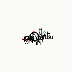 Cc1coc(-c2nc3oc2C24c5ccccc5NC2Oc2ccc(cc24)C[C@H](NC(=O)[C@@H](O)C(C)(C)C)C(=O)N[C@H]3C(C)C)n1